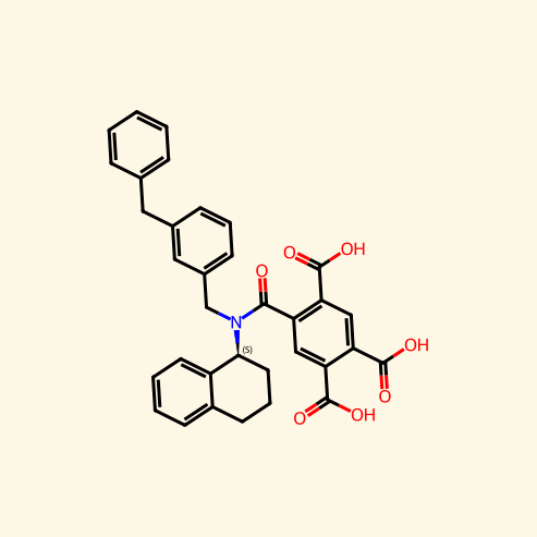 O=C(O)c1cc(C(=O)O)c(C(=O)N(Cc2cccc(Cc3ccccc3)c2)[C@H]2CCCc3ccccc32)cc1C(=O)O